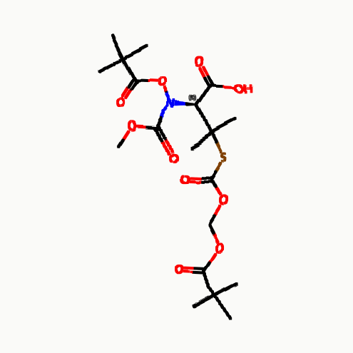 COC(=O)N(OC(=O)C(C)(C)C)[C@@H](C(=O)O)C(C)(C)SC(=O)OCOC(=O)C(C)(C)C